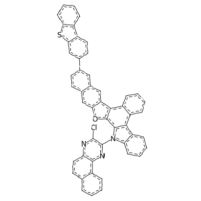 Clc1nc2ccc3ccccc3c2nc1-n1c2ccccc2c2c3ccccc3c3c4cc5cc(-c6ccc7c(c6)sc6ccccc67)ccc5cc4oc3c21